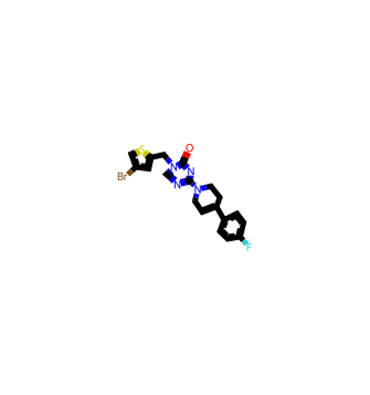 O=c1nc(N2CC=C(c3ccc(F)cc3)CC2)ncn1Cc1cc(Br)cs1